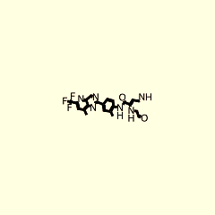 Cc1cc(-c2ncc3nc(C(F)(F)F)cc(C)c3n2)ccc1NC(=O)/C(=C/C=N)NCC=O